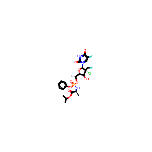 CC(C)OC(=O)[C@H](C)NP(=O)(Oc1ccccc1)O[C@H](C)[C@H]1O[C@@H](n2cc(F)c(=O)[nH]c2=O)[C@@](Cl)(CF)C1O